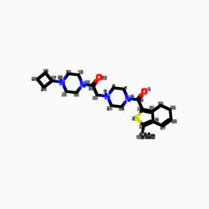 CSc1sc(C(=O)N2CCN(CC(=O)N3CCN(C4CCC4)CC3)CC2)c2c1C=CCC2